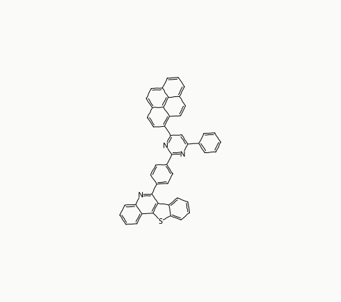 c1ccc(-c2cc(-c3ccc4ccc5cccc6ccc3c4c56)nc(-c3ccc(-c4nc5ccccc5c5sc6ccccc6c45)cc3)n2)cc1